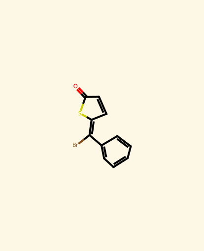 O=C1C=C/C(=C(/Br)c2ccccc2)S1